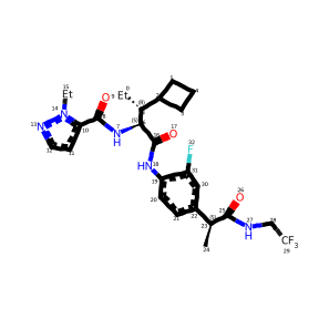 CC[C@H](C1CCC1)[C@H](NC(=O)c1ccnn1CC)C(=O)Nc1ccc([C@H](C)C(=O)NCC(F)(F)F)cc1F